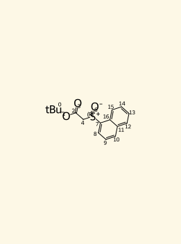 CC(C)(C)OC(=O)C[S@+]([O-])c1cccc2ccccc12